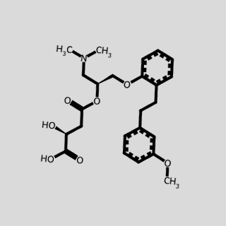 COc1cccc(CCc2ccccc2OC[C@H](CN(C)C)OC(=O)C[C@H](O)C(=O)O)c1